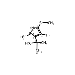 COc1nn(C)c(C(C)(C)C)c1I